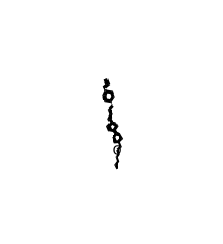 C=CC[C@H]1CC[C@H](CCCCc2ccc(-c3ccc(COCCCCC)cc3)cc2)CC1